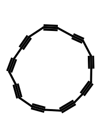 c1c#cc#cc#cc#cc#cc#cc#cc#cc#1